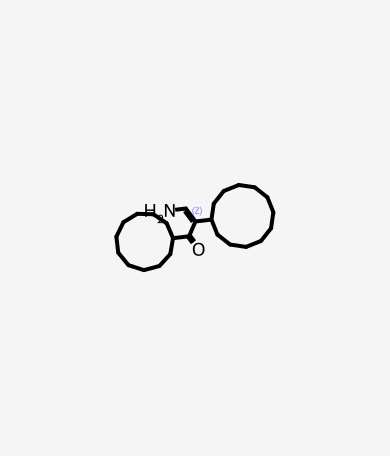 N/C=C(\C(=O)C1CCCCCCCCCC1)C1CCCCCCCCCCC1